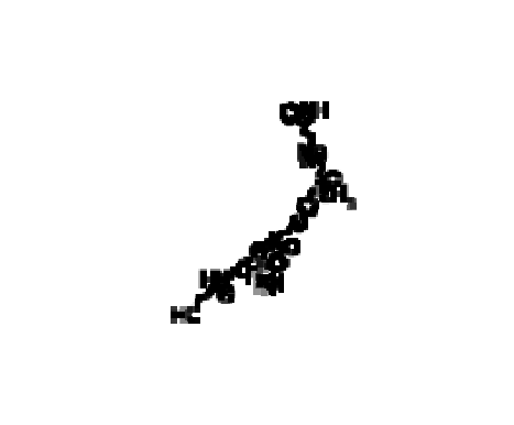 C#CCCCC(=O)NCCOCCOCCN(CCCOc1ccc(CN(C)C(=O)CCc2nnc(CCc3c[nH]c4ccccc34)o2)cc1)C(=O)c1ccc(C2(C(F)(F)F)N=N2)cc1